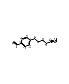 C=Cc1ccc(CCCCC#N)cc1